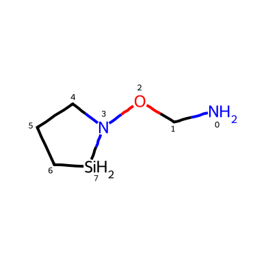 NCON1CCC[SiH2]1